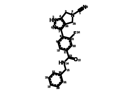 N#CN1Cc2[nH]nc(-c3ccc(C(=O)NCc4ccccc4)cc3F)c2C1